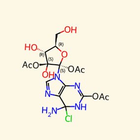 CC(=O)OC1=Nc2c(ncn2[C@]2(OC(C)=O)O[C@H](CO)[C@@H](O)[C@]2(O)OC(C)=O)C(N)(Cl)N1